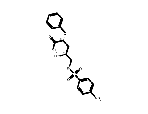 NC(=O)[C@H](Cc1ccccc1)C[C@H](O)CNS(=O)(=O)c1ccc([N+](=O)[O-])cc1